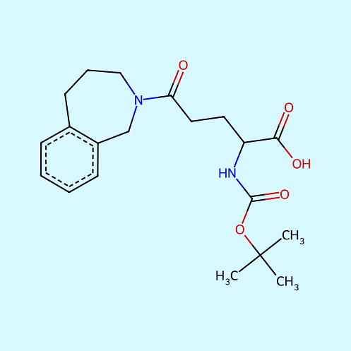 CC(C)(C)OC(=O)NC(CCC(=O)N1CCCc2ccccc2C1)C(=O)O